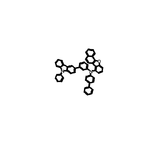 c1ccc(-c2ccc(N(c3cccc(-c4ccc5c(c4)c4ccccc4n5-c4ccccc4)c3)c3cccc4oc5c6ccccc6ccc5c34)cc2)cc1